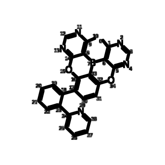 Cc1ncnc2c1B1c3c(C)ncnc3Oc3c(-c4ccccc4-c4ccccn4)ccc(c31)O2